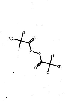 O=C(OOC(=O)C(Cl)(Cl)C(F)(F)F)C(Cl)(Cl)C(F)(F)F